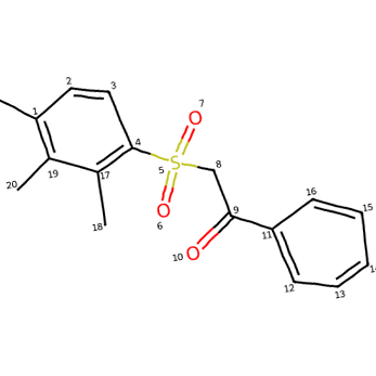 Cc1ccc(S(=O)(=O)CC(=O)c2ccccc2)c(C)c1C